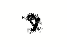 C=C(CCOC(=O)N[C@@H](C)C(=O)N[C@@H](C)C(=O)N[C@@H](C)C(=O)NCSCCCSCc1c2c(nc3cc(F)c(C)cc13)C(C)(OC)N(C(=O)C(C)CO)C2)c1ccccc1C